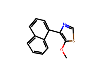 COc1scnc1-c1cccc2ccccc12